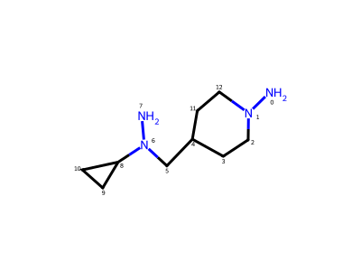 NN1CCC(CN(N)C2CC2)CC1